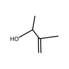 [CH]=C(C)C(C)O